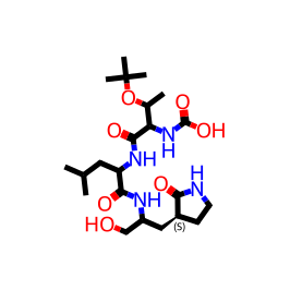 CC(C)CC(NC(=O)C(NC(=O)O)C(C)OC(C)(C)C)C(=O)NC(CO)C[C@@H]1CCNC1=O